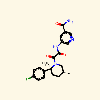 B[C@@]1(c2ccc(F)cc2)CC[C@@H](C)CN1C(=O)C(=O)Nc1cncc(C(N)=O)c1